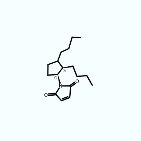 CCCCC1CC[C@H](N2C(=O)C=CC2=O)[C@@H]1CCCC